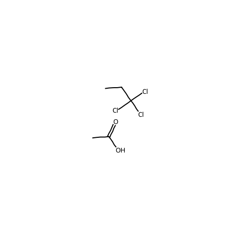 CC(=O)O.CCC(Cl)(Cl)Cl